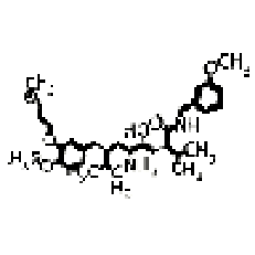 COCCCOc1cc(C[C@@H](C[C@H](N)[C@@H](O)C[C@H](C(=O)NCc2cccc(OC)c2)C(C)C)C(C)C)ccc1OC